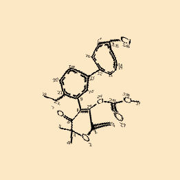 C=C1OC(C)(C)C(=O)C(c2cc(-c3ccc(Cl)cc3)ccc2CC)=C1OC(=O)OC